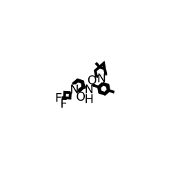 Cc1ccc(C(=O)Nc2cccn(C3CC(F)(F)C3)c2=O)c(N2CCC3(C)CC3C2)c1